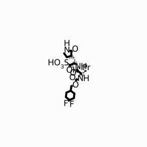 CC(C)C[C@H](NC(=O)OCC1CCC(F)(F)CC1)C(=O)N[C@@H](C[C@@H]1CCNC1=O)[C@@H](O)S(=O)(=O)O